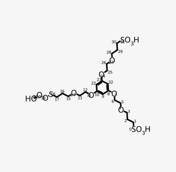 O=S(=O)(O)CCCOCCOc1cc(OCCOCCCSOOO)cc(OCCOCCCS(=O)(=O)O)c1